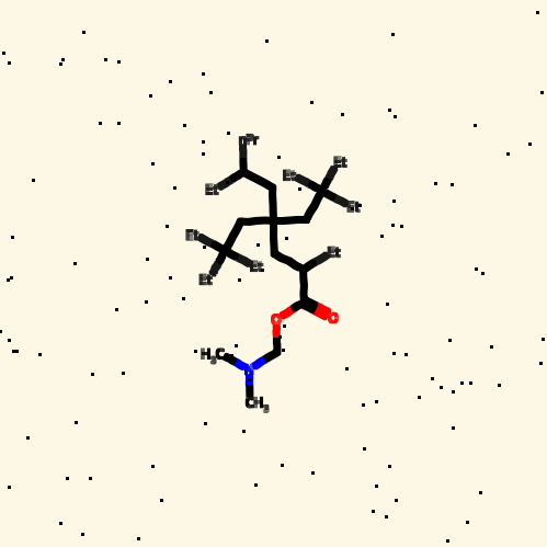 CCCC(CC)CC(CC(CC)C(=O)OCN(C)C)(CC(CC)(CC)CC)CC(CC)(CC)CC